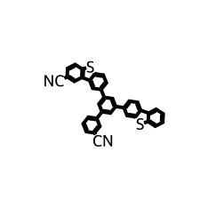 N#Cc1cccc(-c2cc(-c3ccc4c(c3)sc3ccccc34)cc(-c3ccc4sc5ccc(C#N)cc5c4c3)c2)c1